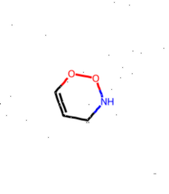 [C]1C=COON1